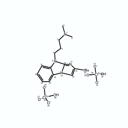 CN(C)CCCn1c2ccccc2n2cc(C(C)(C)C)nc12.[O-][Cl+3]([O-])([O-])O.[O-][Cl+3]([O-])([O-])O